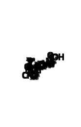 O=C(O)c1cccc(N2CCC3(C=C(c4c(-c5c(Cl)cccc5Cl)noc4C4CC4)C3)CC2)n1